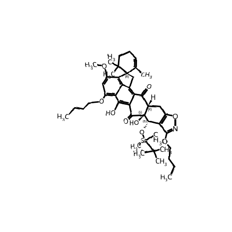 CCCCOc1noc2c1[C@H](O[Si](C)(C)C(C)(C)C)[C@]1(O)C(=O)c3c(c4c5c(c(OC)cc(OCCCC)c5c3O)[C@@]3(C4)C(C)=CCCC3(C)C)C(=O)[C@@H]1C2